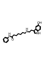 O=C(CCCCCCNCCc1c[nH]c2ccc(O)cc12)Nc1ccccc1